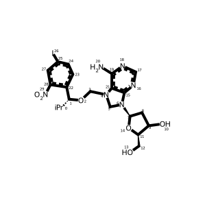 CC(C)[C@@H](OCN1CN([C@H]2CC(O)[C@@H](CO)O2)c2ncnc(N)c21)c1ccc(I)cc1[N+](=O)[O-]